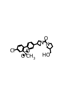 CS(=O)(=O)c1cc(Cl)ccc1-c1ccc(C2CN(C(=O)N3CCC(CO)C3)C2)cc1